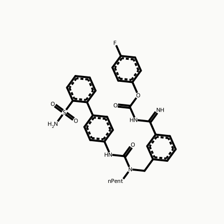 CCCCCN(Cc1cccc(C(=N)NC(=O)Oc2ccc(F)cc2)c1)C(=O)Nc1ccc(-c2ccccc2S(N)(=O)=O)cc1